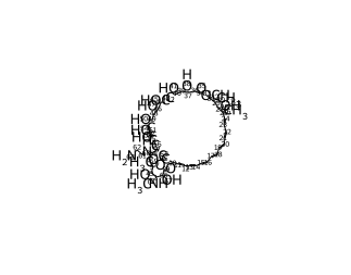 CN[C@H]1C(O)C(C)OC(OC2/C=C/C=C/C=C/C=C/C=C/C=C/C=C/[C@H](C)C(O)[C@@H](C)[C@H](C)OC(=O)CC(O)CC(O)CCC(O)C(O)CC(O)CC(O)(O)CCC(C(=O)NCCN)CC2)[C@H]1O